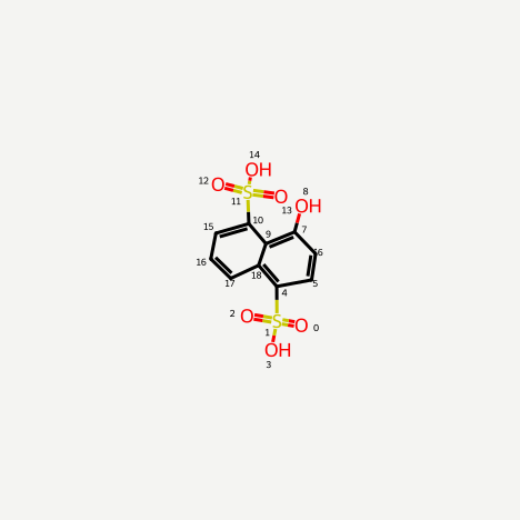 O=S(=O)(O)c1c[c]c(O)c2c(S(=O)(=O)O)cccc12